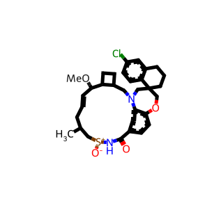 COC1/C=C/CC(C)C[S+]([O-])NC(=O)c2ccc3c(c2)N(CC2CCC21)CC1(CCCc2cc(Cl)ccc21)CO3